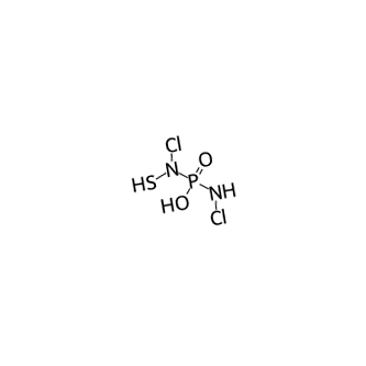 O=P(O)(NCl)N(S)Cl